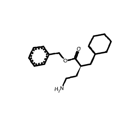 NCC[C@H](CC1CCCCC1)C(=O)OCc1ccccc1